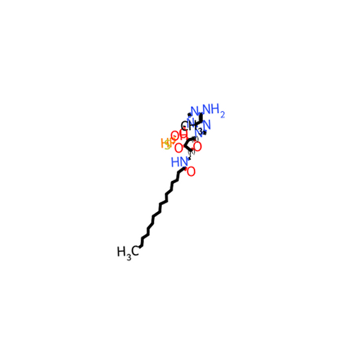 CCCCCCCCCCCCCCCC(=O)NC[C@H]1O[C@@H](n2cnc3c(N)ncnc32)C(OC)C1O[PH](O)=S